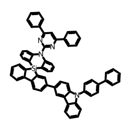 c1ccc(-c2ccc(-n3c4ccccc4c4cc(-c5ccc6c(c5)[Si]5(c7ccccc7-6)c6ccccc6N(c6nc(-c7ccccc7)cc(-c7ccccc7)n6)c6ccccc65)ccc43)cc2)cc1